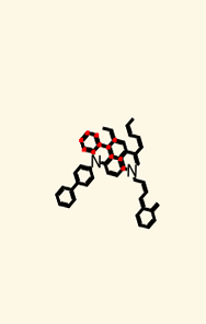 C=c1cccc/c1=C/C=C\CN(/C=C(/C=C\C=C/C)c1ccc(-c2ccccc2N(c2ccccc2)c2ccc(-c3ccccc3)cc2)cc1)/C=C/C=C(\C=C/C)c1ccccc1